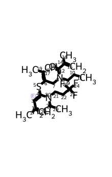 C=C(C)/C=C(/SC(CN(CCC)C(=O)C(=C)C)=C(C)C)N(CCC(F)(F)F)C(=C)C